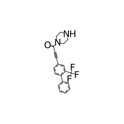 O=C(C#Cc1ccc(-c2ccccc2)c(C(F)(F)F)c1)N1CCNCC1